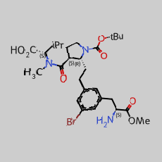 COC(=O)[C@@H](N)Cc1cc(Br)cc(CC[C@@H]2[C@@H](C(=O)N(C)[C@H](C(=O)O)C(C)C)CCN2C(=O)OC(C)(C)C)c1